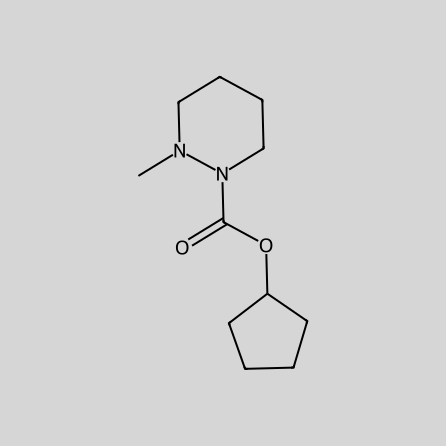 CN1CCCCN1C(=O)OC1CCCC1